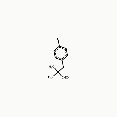 CC(C)([C]=O)Cc1ccc(F)cc1